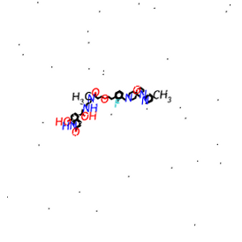 Cc1ccnc(N2CCOC3(CCN(Cc4cccc(CCOCCC(=O)N(C)CCNCC(O)c5ccc(O)c6[nH]c(=O)ccc56)c4F)CC3)C2)c1